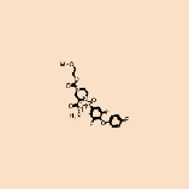 COCCOC(=O)N1CCN(S(=O)(=O)c2cc(F)c(Oc3ccc(F)cc3)c(F)c2)[C@@H](C(=O)ON)C1